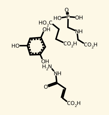 NNC(=O)C=CC(=O)O.O=C(O)CCC(=O)O.O=C(O)CNCP(=O)(O)O.Oc1cc(O)cc(O)c1